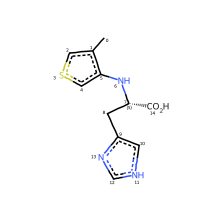 Cc1cscc1N[C@@H](Cc1c[nH]cn1)C(=O)O